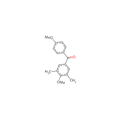 COc1ccc(C(=O)c2cc(C)c(OC)c(C)c2)cc1